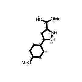 COC1CCC(C2CC(C(O)OC)NN2)CC1